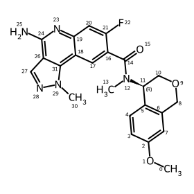 COc1ccc2c(c1)COC[C@@H]2N(C)C(=O)c1cc2c(cc1F)nc(N)c1cnn(C)c12